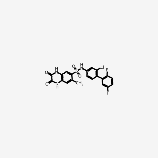 Cc1cc2[nH]c(=O)c(=O)[nH]c2cc1S(=O)(=O)Nc1ccc(-c2cc(F)ccc2F)c(Cl)c1